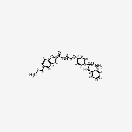 CCCc1ccc2oc(C(=O)NCCOc3ccc(C(=O)Nc4ccccc4N)cc3)cc2c1